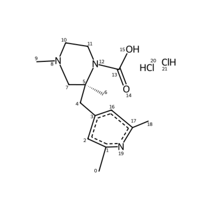 Cc1cc(C[C@@]2(C)CN(C)CCN2C(=O)O)cc(C)n1.Cl.Cl